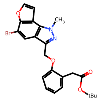 Cn1nc(COc2ccccc2CC(=O)OC(C)(C)C)c2cc(Br)c3occc3c21